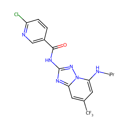 CC(C)Nc1cc(C(F)(F)F)cc2nc(NC(=O)c3ccc(Cl)nc3)nn12